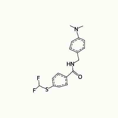 CN(C)c1ccc(CNC(=O)c2ccc(SC(F)F)cc2)cc1